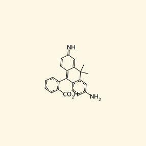 CC1(C)C2=CC(=N)C=CC2=C(c2ccccc2C(=O)O)c2ccc(N)cc21